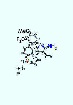 CC=C1C(N)=NC(c2cccc(OCCCF)c2)(c2ccc(OC)c(C(F)(F)F)c2)/C1=C/C=C\C